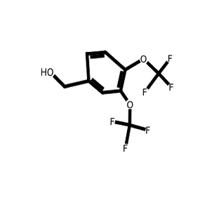 OCc1ccc(OC(F)(F)F)c(OC(F)(F)F)c1